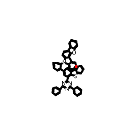 c1ccc(-c2nc(-c3ccccc3)nc(-c3cc(-c4ccccc4-n4c5ccccc5c5c6oc7ccccc7c6ccc54)cc4c3sc3ccccc34)n2)cc1